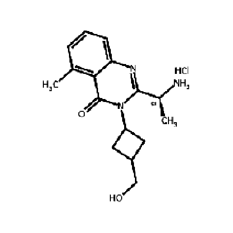 Cc1cccc2nc([C@H](C)N)n(C3CC(CO)C3)c(=O)c12.Cl